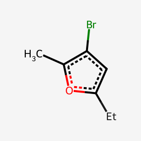 CCc1cc(Br)c(C)o1